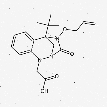 C=CCON1C(=O)N2CC1(C(C)(C)C)c1ccccc1N2CC(=O)O